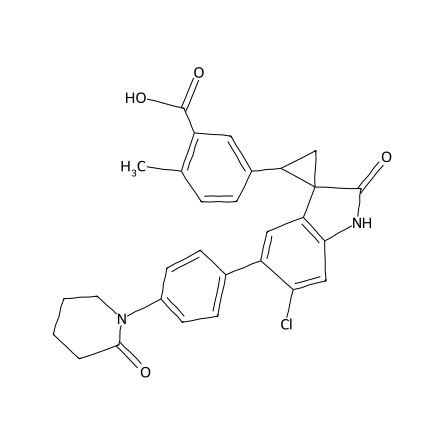 Cc1ccc(C2CC23C(=O)Nc2cc(Cl)c(-c4ccc(N5CCCCC5=O)cc4)cc23)cc1C(=O)O